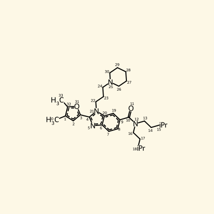 Cc1cc(-c2nc3ccc(C(=O)N(CCC(C)C)CCC(C)C)cc3n2CCCN2CCCCC2)oc1C